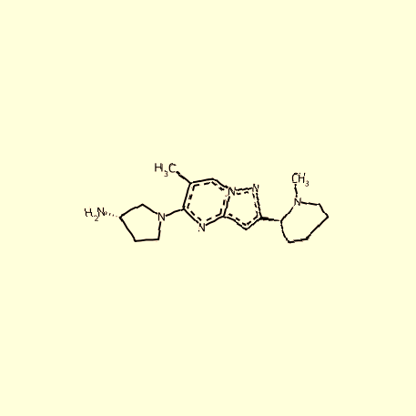 Cc1cn2nc([C@@H]3CCCCN3C)cc2nc1N1CC[C@H](N)C1